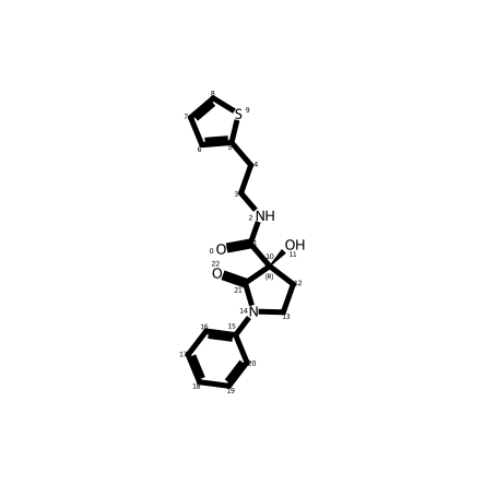 O=C(NCCc1cccs1)[C@]1(O)CCN(c2ccccc2)C1=O